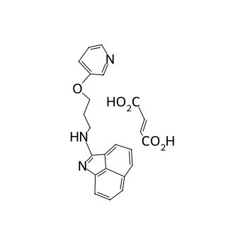 O=C(O)C=CC(=O)O.c1cncc(OCCCNC2=Nc3cccc4cccc2c34)c1